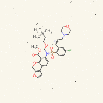 COC(=O)c1c(N(COCC[Si](C)(C)C)S(=O)(=O)c2ccc(F)cc2/C=C\CN2CCOCC2)ccc2c1OCc1occc1-2